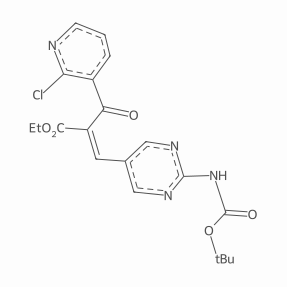 CCOC(=O)C(=Cc1cnc(NC(=O)OC(C)(C)C)nc1)C(=O)c1cccnc1Cl